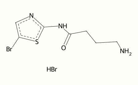 Br.NCCCC(=O)Nc1ncc(Br)s1